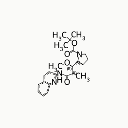 CO[C@H]([C@@H](C)C(=O)Nc1ccc2ccccc2n1)[C@@H]1CCCN1C(=O)OC(C)(C)C